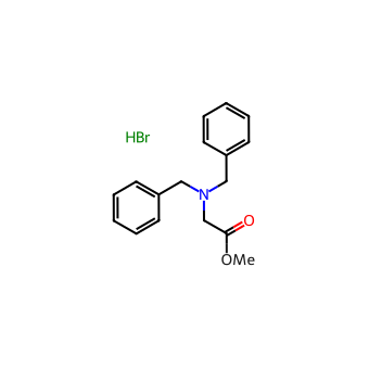 Br.COC(=O)CN(Cc1ccccc1)Cc1ccccc1